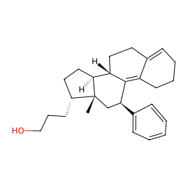 C[C@]12C[C@H](c3ccccc3)C3=C4CCCC=C4CC[C@H]3[C@@H]1CC[C@H]2CCCO